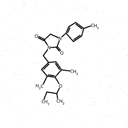 CCC(C)Oc1c(C)cc(CN2C(=O)CN(c3ccc(C)cc3)C2=O)cc1C